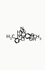 COc1cc2c(cc1O)nc(Nc1c(C)cccc1Cl)c1cncn12